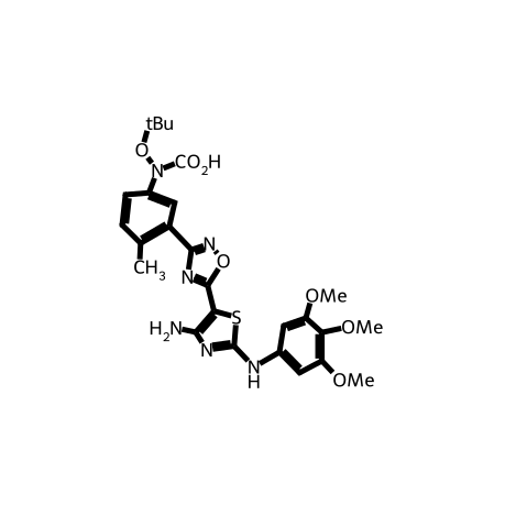 COc1cc(Nc2nc(N)c(-c3nc(-c4cc(N(OC(C)(C)C)C(=O)O)ccc4C)no3)s2)cc(OC)c1OC